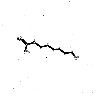 C=C(C)OCCCCCCO